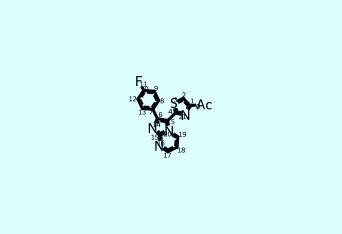 CC(=O)c1csc(-c2c(-c3ccc(F)cc3)nc3ncccn23)n1